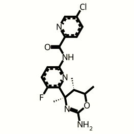 CC1OC(N)=N[C@@](C)(c2nc(NC(=O)c3ccc(Cl)cn3)ccc2F)[C@@H]1C